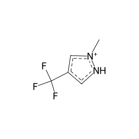 C[n+]1cc(C(F)(F)F)c[nH]1